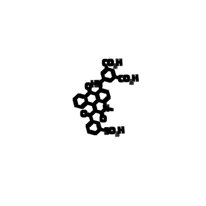 Cn1c(=O)c(C(=O)c2cccc(S(=O)(=O)O)c2)c2c3c(c(Nc4cc(C(=O)O)cc(C(=O)O)c4)ccc31)C(=O)c1ccccc1-2